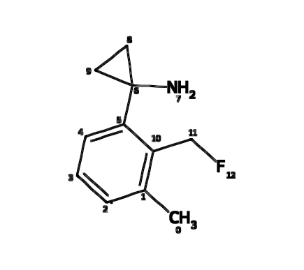 Cc1[c]ccc(C2(N)CC2)c1CF